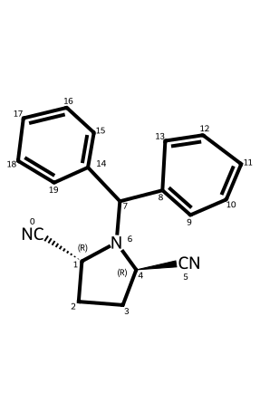 N#C[C@H]1CC[C@H](C#N)N1C(c1ccccc1)c1ccccc1